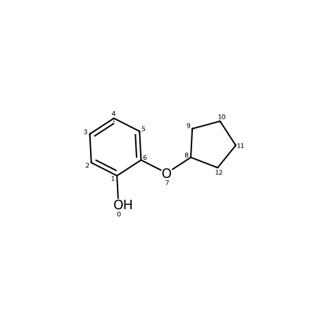 Oc1cc[c]cc1OC1CCCC1